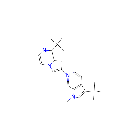 Cn1cc(C(C)(C)C)c2cc[n+](-c3cc4c(C(C)(C)C)nccn4c3)cc21